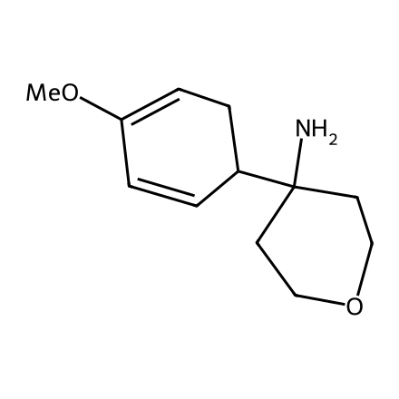 COC1=CCC(C2(N)CCOCC2)C=C1